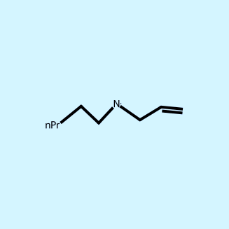 C=CC[N]CCCCC